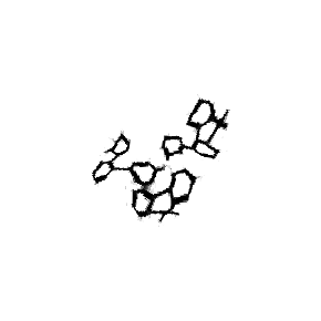 CC1(C)c2ccccc2-c2c(-c3cccc(N(c4ccc(-c5cccc6sc7ccccc7c56)cc4)c4cccc5c4-c4ccccc4C5(C)C)c3)cccc21